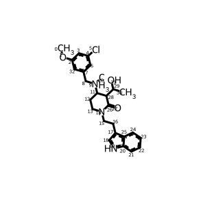 COc1cc(Cl)cc(CN(C)C2CCN(CCc3c[nH]c4ccccc34)C(=O)C2C(C)O)c1